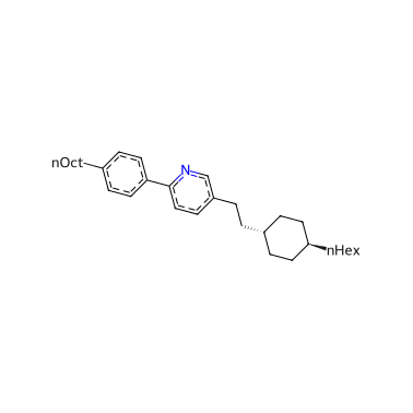 CCCCCCCCc1ccc(-c2ccc(CC[C@H]3CC[C@H](CCCCCC)CC3)cn2)cc1